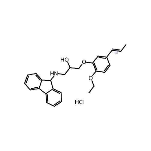 C/C=C/c1ccc(OCC)c(OCC(O)CNC2c3ccccc3-c3ccccc32)c1.Cl